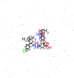 CC1(C)CCC(CN2CCN(c3ccc(C(=O)O)c(Oc4ccc(NS(C)(=O)=O)nc4)c3)CC2)=C(c2ccc(Cl)cc2)C1